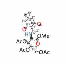 CO[C@H]1O[C@H](COC(C)=O)[C@@H](OC(C)=O)[C@H](OC(C)=O)[C@H]1NC(C)=C1C(=O)CC(C)(C)CC1=O